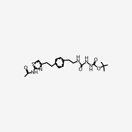 CC(=O)Nc1nc(CCc2ccc(CCNC(=O)NNC(=O)OC(C)(C)C)cc2)cs1